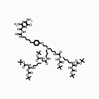 CC(C)(C)OC(=O)/N=C(\NCCCC[C@H](NC(=O)OC(C)(C)C)C(=O)NCCCN(CCCNC(=O)[C@H](CCCCN/C(=N\C(=O)OC(C)(C)C)NC(=O)OC(C)(C)C)NC(=O)OC(C)(C)C)CCOc1ccc(CCCCNC(=N)NC(=O)c2nc(Cl)c(N)nc2N)cc1)NC(=O)OC(C)(C)C